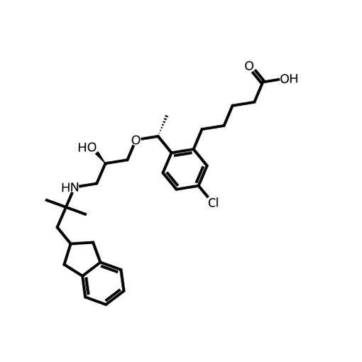 C[C@@H](OC[C@H](O)CNC(C)(C)CC1Cc2ccccc2C1)c1ccc(Cl)cc1CCCCC(=O)O